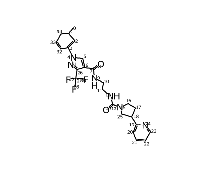 CC1C=C(n2cc(C(=O)NCCNC(=O)N3CCC(c4ccccn4)C3)c(C(F)(F)F)n2)C=CC1